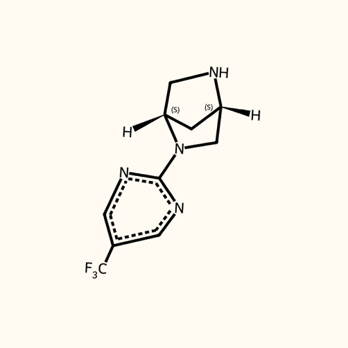 FC(F)(F)c1cnc(N2C[C@@H]3C[C@H]2CN3)nc1